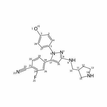 COc1ccc(-n2nc(NCC3CCNC3)cc2-c2ccc(C#N)c(F)c2)cc1